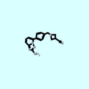 N#CC1CN(Cc2ccc(-c3cccc4nc(N)nn34)cc2)C1